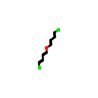 ClC=CC=COC=CC=CCl